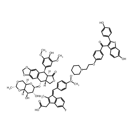 CC1=C(CC(=O)O)c2cc(F)ccc2/C1=C\c1ccc([S+](C)[O-])cc1.COc1cc([C@@H]2c3cc4c(cc3[C@@H](O[C@@H]3O[C@@H]5CO[C@@H](C)O[C@H]5[C@H](O)[C@H]3O)[C@H]3COC(=O)[C@H]23)OCO4)cc(OC)c1O.O=C(c1ccc(OCCN2CCCCC2)cc1)c1c(-c2ccc(O)cc2)sc2cc(O)ccc12